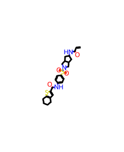 C=CC(=O)NC1CC2CN(S(=O)(=O)c3ccc(NC(=O)c4cc5c(s4)CCCC5)cc3)CC2C1